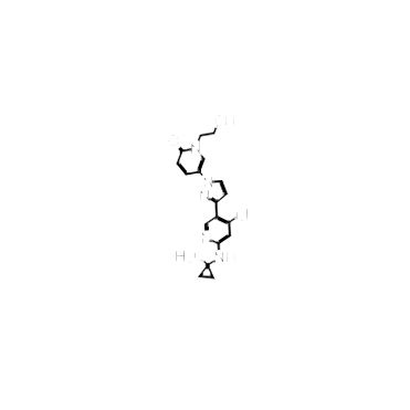 CCCn1cc(-n2ccc(-c3cnc(NC4(C)CC4)cc3Cl)n2)ccc1=O